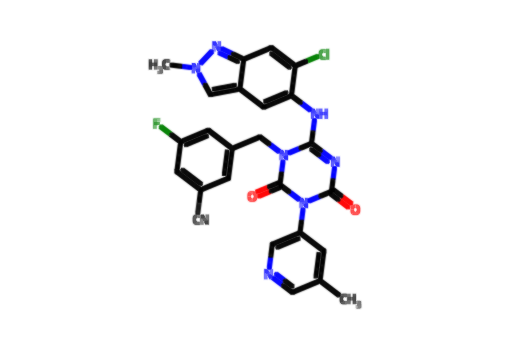 Cc1cncc(-n2c(=O)nc(Nc3cc4cn(C)nc4cc3Cl)n(Cc3cc(F)cc(C#N)c3)c2=O)c1